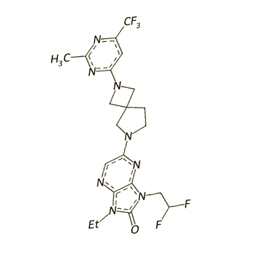 CCn1c(=O)n(CC(F)F)c2nc(N3CCC4(CN(c5cc(C(F)(F)F)nc(C)n5)C4)C3)cnc21